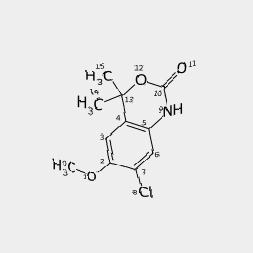 COc1cc2c(cc1Cl)NC(=O)OC2(C)C